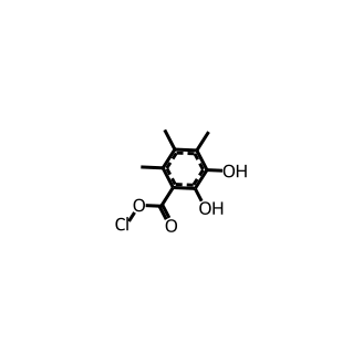 Cc1c(C)c(O)c(O)c(C(=O)OCl)c1C